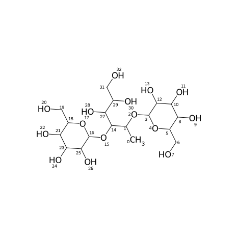 CC(OC1OC(CO)C(O)C(O)C1O)C(OC1OC(CO)C(O)C(O)C1O)C(O)C(O)CO